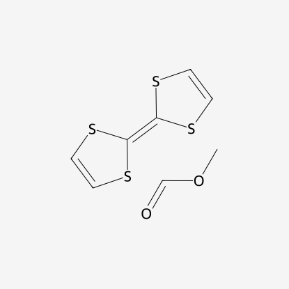 C1=CSC(=C2SC=CS2)S1.COC=O